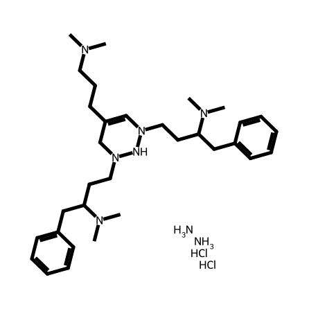 CN(C)CCCC1=CN(CCC(Cc2ccccc2)N(C)C)NN(CCC(Cc2ccccc2)N(C)C)C1.Cl.Cl.N.N